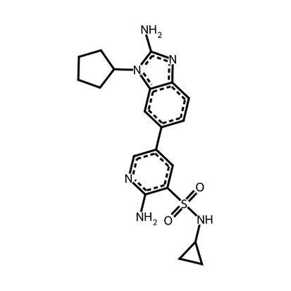 Nc1ncc(-c2ccc3nc(N)n(C4CCCC4)c3c2)cc1S(=O)(=O)NC1CC1